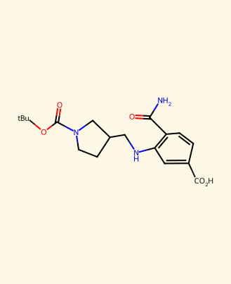 CC(C)(C)OC(=O)N1CCC(CNc2cc(C(=O)O)ccc2C(N)=O)C1